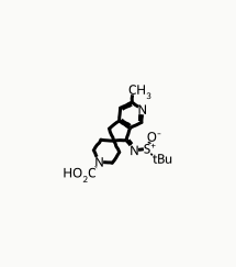 Cc1cc2c(cn1)/C(=N\[S@+]([O-])C(C)(C)C)C1(CCN(C(=O)O)CC1)C2